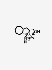 CS(=O)(=O)O[C@@H](CO)C[C@@H]1CCCCC[C@H]1N=[N+]=[N-]